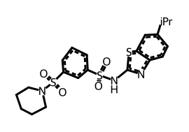 CC(C)c1ccc2nc(NS(=O)(=O)c3cccc(S(=O)(=O)N4CCCCC4)c3)sc2c1